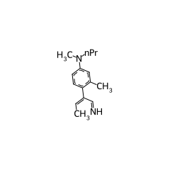 C/C=C(\C=N)c1ccc(N(C)CCC)cc1C